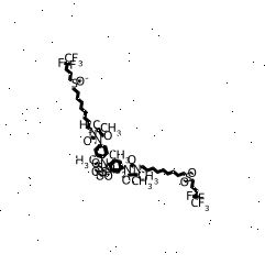 Cc1cc(N2C(=O)N(CCCCCCCCC[S+]([O-])CCCC(F)(F)C(F)(F)F)C(C)(C)C2=O)ccc1N(c1ccc(N2C(=O)N(CCCCCCCCCS(=O)(=O)CCCC(F)(F)C(F)(F)F)C(C)(C)C2=O)cc1C)S(=O)(=O)S(N)(=O)=O